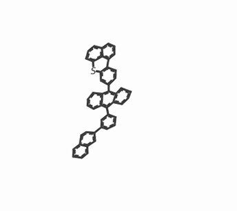 c1cc(-c2ccc3ccccc3c2)cc(-c2c3ccccc3c(-c3ccc4c(c3)Sc3cccc5cccc-4c35)c3ccccc23)c1